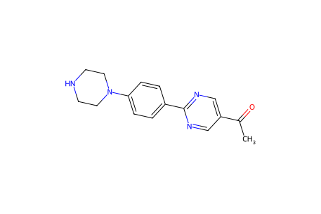 CC(=O)c1cnc(-c2ccc(N3CCNCC3)cc2)nc1